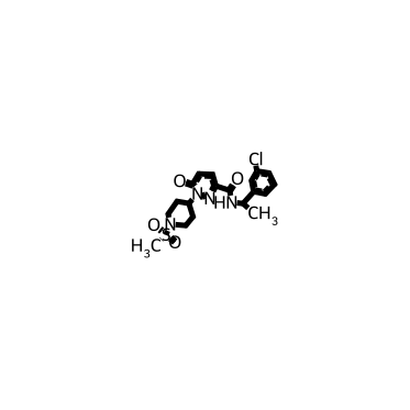 CC(NC(=O)c1ccc(=O)n(C2CCN(S(C)(=O)=O)CC2)n1)c1cccc(Cl)c1